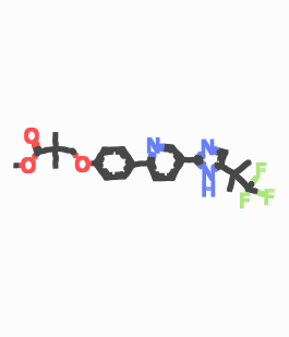 COC(=O)C(C)(C)COc1ccc(-c2ccc(-c3ncc(C(C)(C)C(F)(F)F)[nH]3)cn2)cc1